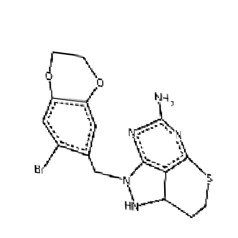 Nc1nc2c3c(n1)N(Cc1cc4c(cc1Br)OCCO4)NC3CCS2